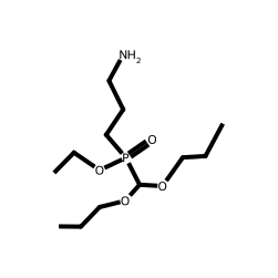 CCCOC(OCCC)P(=O)(CCCN)OCC